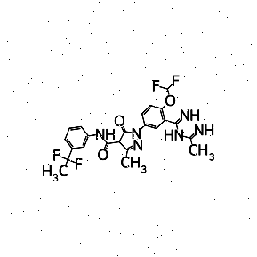 CC(=N)NC(=N)c1cc(N2N=C(C)C(C(=O)Nc3cccc(C(C)(F)F)c3)C2=O)ccc1OC(F)F